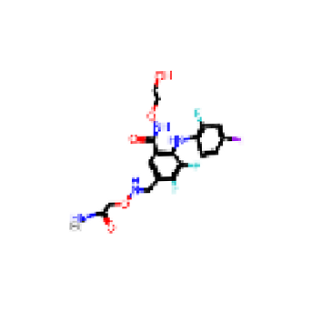 CCNC(=O)CONCc1cc(C(=O)NOCCO)c(Nc2ccc(I)cc2F)c(F)c1F